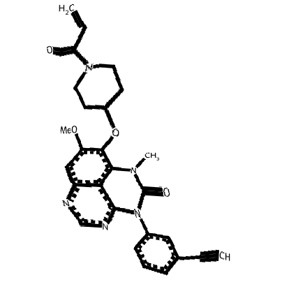 C#Cc1cccc(N2C(=O)N(C)c3c(OC4CCN(C(=O)C=C)CC4)c(OC)cc4ncnc2c34)c1